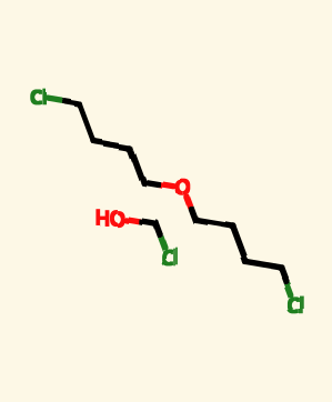 ClCCCCOCCCCCl.OCCl